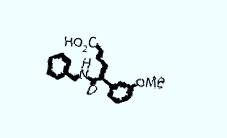 COc1cccc(C(=CC=CC(=O)O)C(=O)NCc2ccccc2)c1